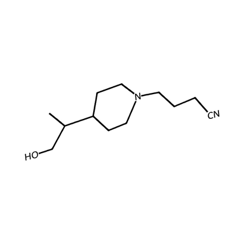 CC(CO)C1CCN(CCCC#N)CC1